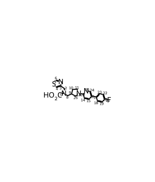 O=C(O)N(Cc1cscn1)CC1CCN(c2ccc(-c3ccc(F)cc3)cn2)C1